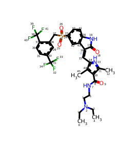 CCN(CC)CCNC(=O)c1c(C)[nH]c(/C=C2\C(=O)Nc3ccc(S(=O)(=O)Cc4cc(C(F)(F)F)ccc4C(F)(F)F)cc32)c1C